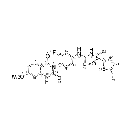 COc1ccc2c(=O)n(-c3ccc(NC(=O)NS(=O)(=O)c4ccc(Cl)s4)cc3F)c(=O)[nH]c2c1